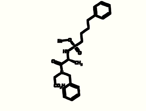 CCOP(=O)(CCCCc1ccccc1)N[C@@H](C)C(=O)N(CC(=O)O)Cc1ccccc1